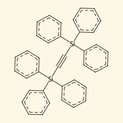 C(#C[Si](c1ccccc1)(c1ccccc1)c1ccccc1)[Si](c1ccccc1)(c1ccccc1)c1ccccc1